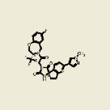 Cn1cc(-c2ccc3c(n2)CC[C@]32NC(=O)N(CC(=O)N3Cc4cc(F)ccc4OC[C@H]3C(F)(F)F)C2=O)cn1